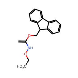 C=C(NOCC(=O)O)OCC1c2ccccc2-c2ccccc21